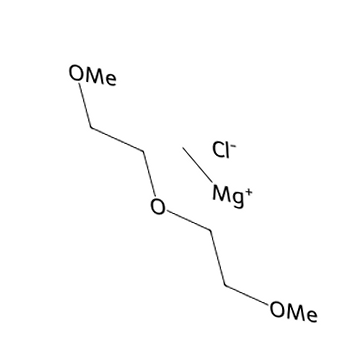 COCCOCCOC.[CH3][Mg+].[Cl-]